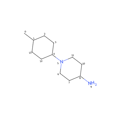 CC1CCC(N2CCC(N)CC2)CC1